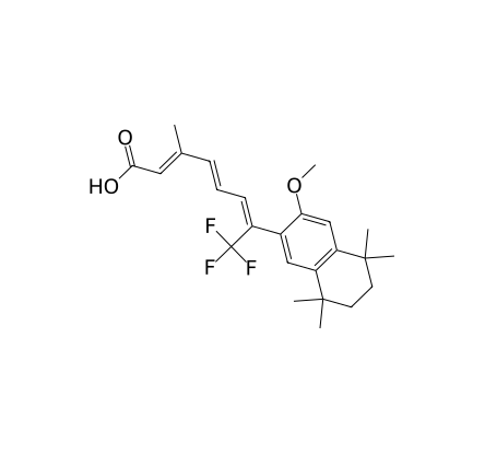 COc1cc2c(cc1C(=CC=CC(C)=CC(=O)O)C(F)(F)F)C(C)(C)CCC2(C)C